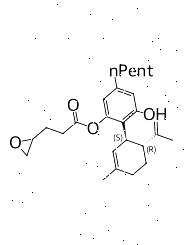 C=C(C)[C@@H]1CCC(C)=C[C@H]1c1c(O)cc(CCCCC)cc1OC(=O)CCC1CO1